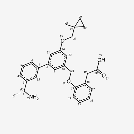 C[C@@H](N)c1cccc(-c2cc(COc3ccccc3CC(=O)O)cc(OCC3(C)CC3)c2)c1